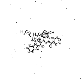 COCCCCn1c(C(=O)N(C)[C@H]2C[C@@H](C(=O)N3CCOCC3)CN(C(=O)O)C2C(C)(C)C)nc2ccccc21